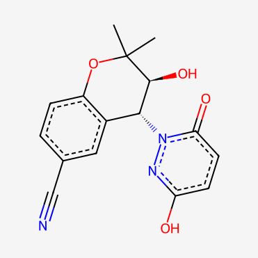 CC1(C)Oc2ccc(C#N)cc2[C@@H](n2nc(O)ccc2=O)[C@@H]1O